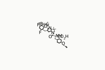 C#CCOc1ccc(C[C@H](NC(=O)O)C(=O)N2CC(C)(C)c3nc(O[Si](C)(C)C(C)(C)C)c(Cc4ccc(F)cc4F)cc32)cc1